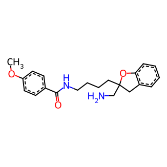 COc1ccc(C(=O)NCCCCC2(CN)Cc3ccccc3O2)cc1